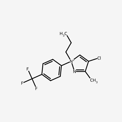 CCC[N+]1(c2ccc(C(F)(F)F)cc2)C=C(Cl)C(C)=N1